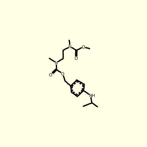 COC(=O)N(C)CCN(C)C(=O)OCc1ccc(NC(C)C)cc1